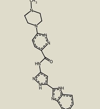 CN1CCN(c2ccc(C(=O)Nc3cc(-c4nc5ccccc5[nH]4)[nH]n3)nn2)CC1